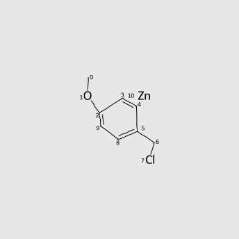 COc1ccc(CCl)cc1.[Zn]